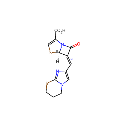 O=C(O)C1=CS[C@@H]2/C(=C\c3cn4c(n3)SCCC4)C(=O)N12